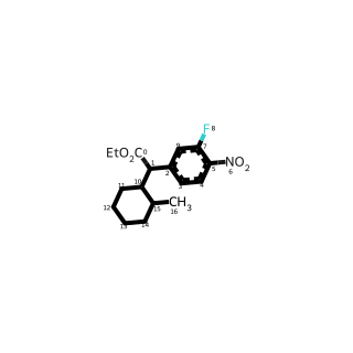 CCOC(=O)C(c1ccc([N+](=O)[O-])c(F)c1)C1CCCCC1C